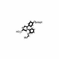 CCCCCCCOc1ccc(C2C=NC(C(=O)O)=CN2c2ccccc2OCC(C)CC)cc1